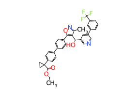 CCOC(=O)C1(c2ccc(-c3ccc(-c4onc(C)c4C(O)c4cncc(-c5cccc(C(F)(F)F)c5)c4)cc3)cc2)CC1